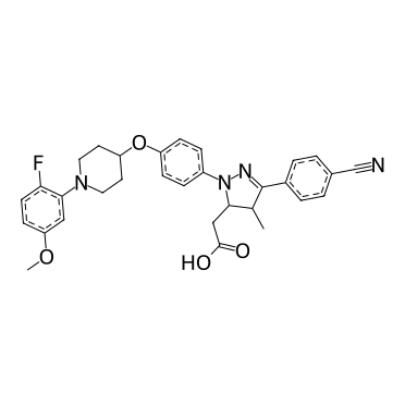 COc1ccc(F)c(N2CCC(Oc3ccc(N4N=C(c5ccc(C#N)cc5)C(C)C4CC(=O)O)cc3)CC2)c1